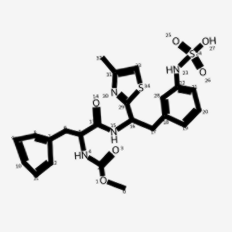 COC(=O)NC(Cc1ccccc1)C(=O)NC(Cc1cccc(NS(=O)(=O)O)c1)c1nc(C)cs1